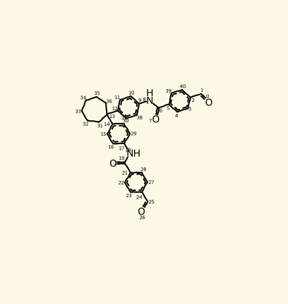 O=Cc1ccc(C(=O)Nc2ccc(C3(c4ccc(NC(=O)c5ccc(C=O)cc5)cc4)CCCCCC3)cc2)cc1